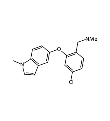 CNCc1ccc(Cl)cc1Oc1ccc2c(ccn2C)c1